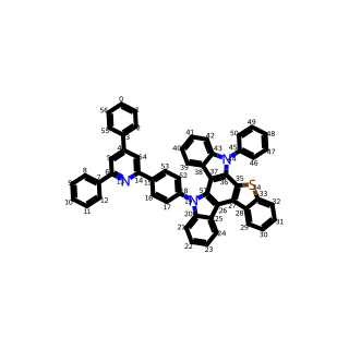 c1ccc(-c2cc(-c3ccccc3)nc(-c3ccc(-n4c5ccccc5c5c6c7ccccc7sc6c6c(c7ccccc7n6-c6ccccc6)c54)cc3)c2)cc1